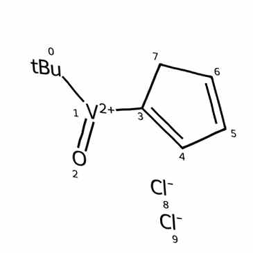 C[C](C)(C)[V+2](=[O])[C]1=CC=CC1.[Cl-].[Cl-]